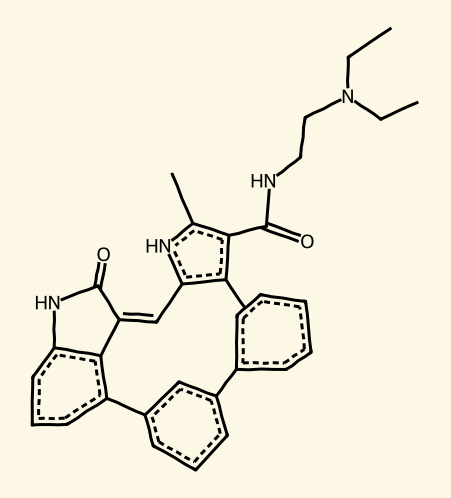 CCN(CC)CCNC(=O)c1c(C)[nH]c(/C=C2\C(=O)Nc3cccc(-c4cccc(-c5ccccc5)c4)c32)c1C